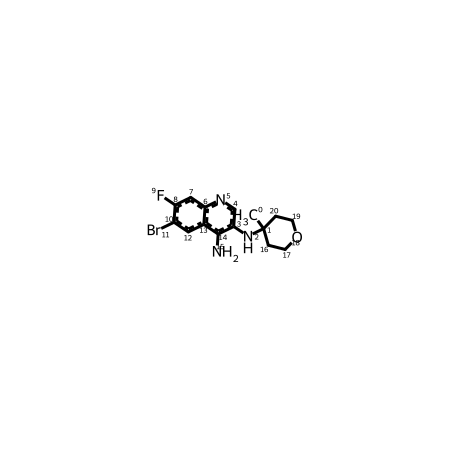 CC1(Nc2cnc3cc(F)c(Br)cc3c2N)CCOCC1